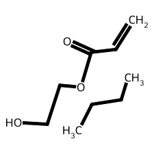 C=CC(=O)OCCO.CCCC